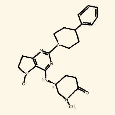 CN1C[C@@H](Nc2nc(N3CCC(c4ccccc4)CC3)nc3c2[S+]([O-])CC3)CCC1=O